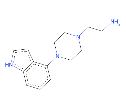 NCCN1CCN(c2cccc3[nH]ccc23)CC1